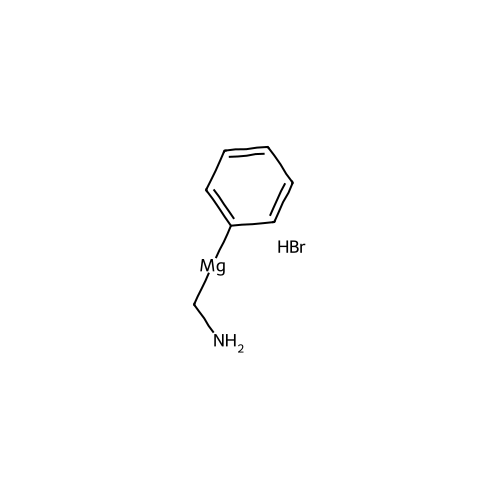 Br.N[CH2][Mg][c]1ccccc1